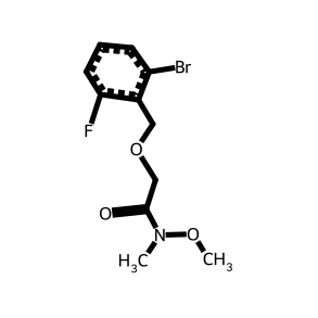 CON(C)C(=O)COCc1c(F)cccc1Br